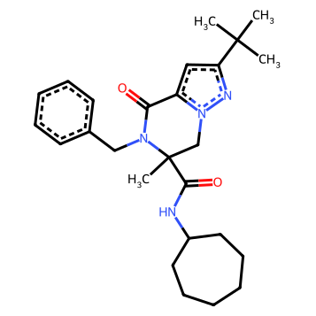 CC(C)(C)c1cc2n(n1)CC(C)(C(=O)NC1CCCCCC1)N(Cc1ccccc1)C2=O